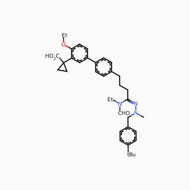 CCOc1ccc(-c2ccc(CCC/C(=N/N(C)Cc3ccc(C(C)(C)C)cc3)N(C=O)CC)cc2)cc1C1(C(=O)O)CC1